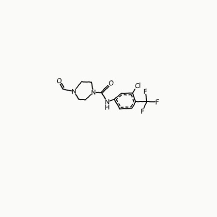 O=CN1CCN(C(=O)Nc2ccc(C(F)(F)F)c(Cl)c2)CC1